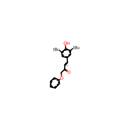 CC(C)(C)c1cc(/C=C/C(=O)COc2ccccc2)cc(C(C)(C)C)c1O